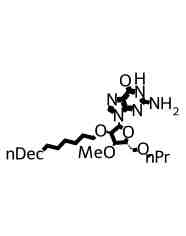 CCCCCCCCCCCCCCCCO[C@@H]1[C@H](OC)[C@@H](COCCC)O[C@H]1n1cnc2c(=O)[nH]c(N)nc21